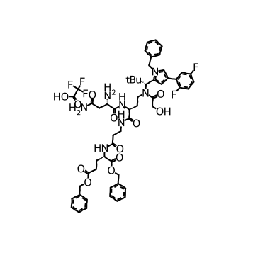 CC(C)(C)[C@H](c1cc(-c2cc(F)ccc2F)cn1Cc1ccccc1)N(CC[C@H](NC(=O)[C@@H](N)CC(N)=O)C(=O)NCCC(=O)N[C@H](CCC(=O)OCc1ccccc1)C(=O)OCc1ccccc1)C(=O)CO.O=C(O)C(F)(F)F